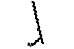 CCCCCCCCCCCCCCOCCCN(CCC)CCCCN